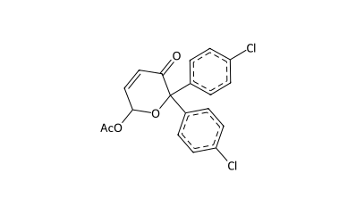 CC(=O)OC1C=CC(=O)C(c2ccc(Cl)cc2)(c2ccc(Cl)cc2)O1